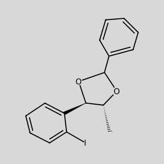 [CH2][C@H]1OC(c2ccccc2)O[C@@H]1c1ccccc1I